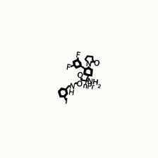 CCC[C@@](N)(C(=O)OCNCc1cccc(I)c1)c1ccc(N2CCCC2=O)c(-c2cc(F)cc(F)c2)c1